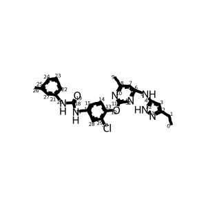 CCc1cc(Nc2cc(C)nc(Oc3ccc(NC(=O)Nc4cccc(C)c4)cc3Cl)n2)[nH]n1